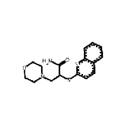 NC(=O)C(CN1CCOCC1)Sc1ccc2ccccc2n1